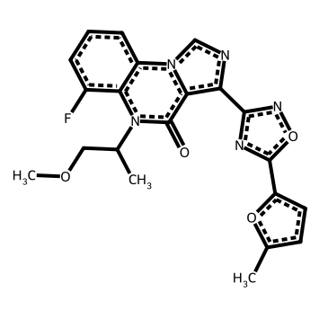 COCC(C)n1c(=O)c2c(-c3noc(-c4ccc(C)o4)n3)ncn2c2cccc(F)c21